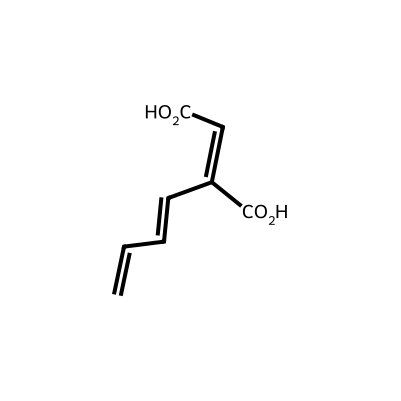 C=CC=CC(=CC(=O)O)C(=O)O